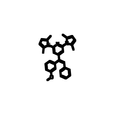 COc1cccc(/C(=C\c2ccccc2)c2cc(-n3c(C)ccc3C)nc(-n3c(C)ccc3C)c2)c1